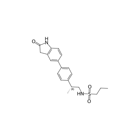 CCCS(=O)(=O)NC[C@H](C)c1ccc(-c2ccc3c(c2)CC(=O)N3)cc1